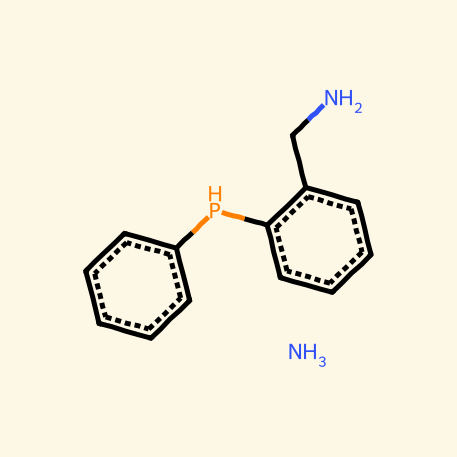 N.NCc1ccccc1Pc1ccccc1